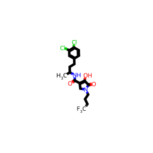 CC(CCc1ccc(Cl)c(Cl)c1)NC(=O)C1=C(O)C(=O)N(CCCC(F)(F)F)C1